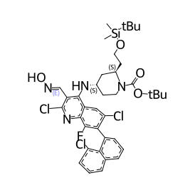 CC(C)(C)OC(=O)N1CC[C@H](Nc2c(/C=N/O)c(Cl)nc3c(F)c(-c4cccc5cccc(Cl)c45)c(Cl)cc23)C[C@H]1CCO[Si](C)(C)C(C)(C)C